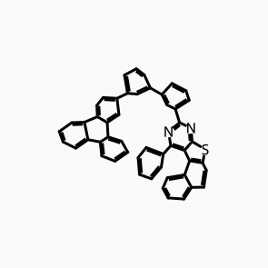 c1ccc(-c2nc(-c3cccc(-c4cccc(-c5ccc6c7ccccc7c7ccccc7c6c5)c4)c3)nc3sc4ccc5ccccc5c4c23)cc1